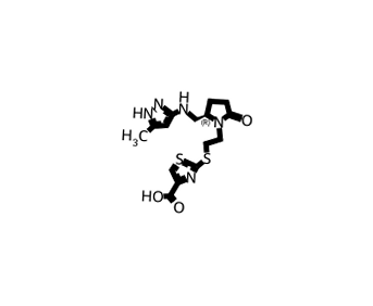 Cc1cc(NC[C@H]2CCC(=O)N2CCSc2nc(C(=O)O)cs2)n[nH]1